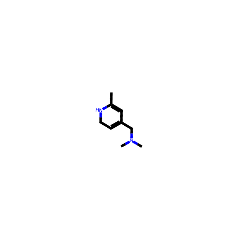 CC1=CC(CN(C)C)=CCN1